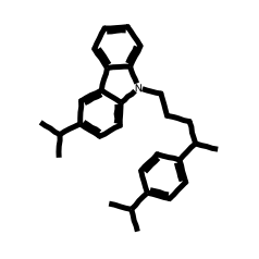 CC(C)c1ccc(C(C)CCCn2c3ccccc3c3cc(C(C)C)ccc32)cc1